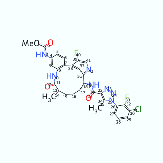 COC(=O)Nc1ccc2c(c1)NC(=O)C(C)CCC[C@H](NC(=O)c1nnn(-c3cccc(Cl)c3F)c1C)c1cc-2c(F)cn1